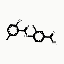 Cc1ccc(O)c(C(=O)Nc2ccc(C(N)=O)cc2Cl)c1